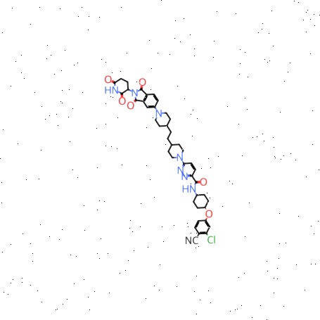 N#Cc1ccc(O[C@H]2CC[C@H](NC(=O)c3ccc(N4CCC(CCC5CCN(c6ccc7c(c6)C(=O)N(C6CCC(=O)NC6=O)C7=O)CC5)CC4)nn3)CC2)cc1Cl